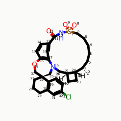 C[C@H]1CCCCCS(=O)(=O)NC(=O)c2ccc3c(c2)N(C[C@@H]2CC[C@H]21)C[C@@]1(CCCc2cc(Cl)ccc21)CO3